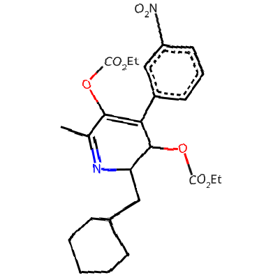 CCOC(=O)OC1=C(c2cccc([N+](=O)[O-])c2)C(OC(=O)OCC)C(CC2CCCCC2)N=C1C